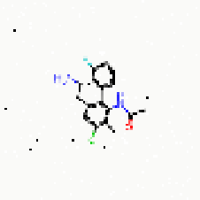 CC(=O)Nc1c(C)c(Cl)cc(CCN)c1-c1cccc(F)c1